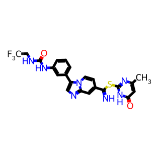 Cc1cc(=O)[nH]c(SC(=N)c2ccn3c(-c4cccc(NC(=O)NCC(F)(F)F)c4)cnc3c2)n1